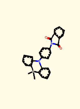 C[Si]1(C)c2ccccc2N(c2ccc(N3C(=O)c4ccccc4C3=O)cc2)c2ccccc21